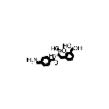 NCC1CCC(C(=O)N[C@H]2Cc3cccc(C(O)O)c3OB2O)CC1